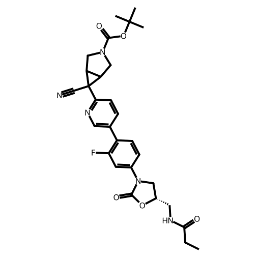 CCC(=O)NC[C@H]1CN(c2ccc(-c3ccc(C4(C#N)C5CN(C(=O)OC(C)(C)C)CC54)nc3)c(F)c2)C(=O)O1